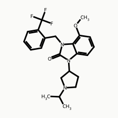 COc1cccc2c1n(Cc1ccccc1C(F)(F)F)c(=O)n2C1CCN(C(C)C)C1